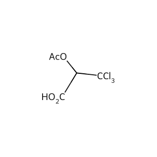 CC(=O)OC(C(=O)O)C(Cl)(Cl)Cl